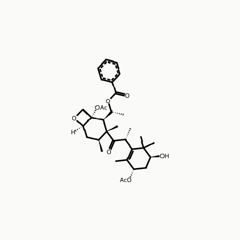 CC(=O)O[C@H]1C[C@H](O)C(C)(C)C([C@@H](C)C(=O)[C@@]2(C)[C@H]([C@@H](C)OC(=O)c3ccccc3)[C@]3(OC(C)=O)CO[C@@H]3C[C@@H]2C)=C1C